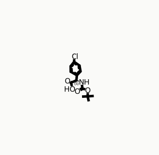 CC(C)(C)OC(=O)N[C@H](C(=O)O)c1ccc(Cl)cc1